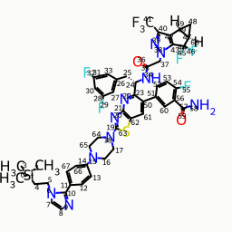 C[Si](C)(C)CCn1ccnc1-c1ccc(N2CCN(c3nc4nc([C@H](Cc5cc(F)cc(F)c5)NC(=O)Cn5nc(C(F)(F)F)c6c5C(F)(F)[C@@H]5C[C@H]65)c(-c5ccc(F)c(C(N)=O)c5)cc4s3)CC2)cc1